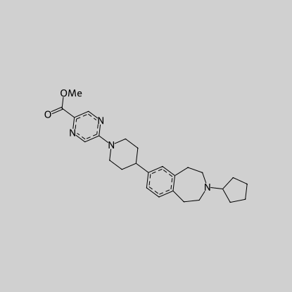 COC(=O)c1cnc(N2CCC(c3ccc4c(c3)CCN(C3CCCC3)CC4)CC2)cn1